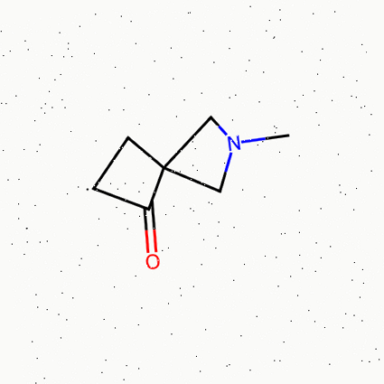 CN1CC2(C[CH]C2=O)C1